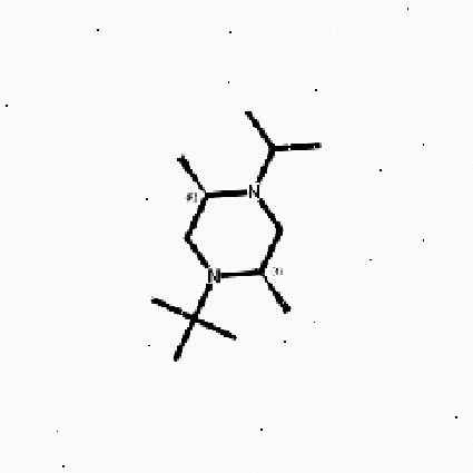 CC(C)N1C[C@@H](C)N(C(C)(C)C)C[C@H]1C